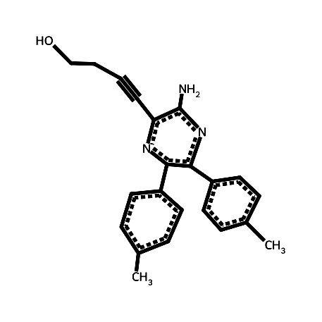 Cc1ccc(-c2nc(N)c(C#CCCO)nc2-c2ccc(C)cc2)cc1